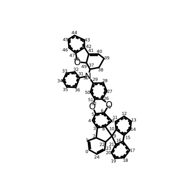 C1=CC2c3cc4c(cc3C3(c5ccccc5-c5ccccc53)C2C=C1)Oc1ccc(N(c2ccccc2)C2CCC=C3c5ccccc5OC32)cc1O4